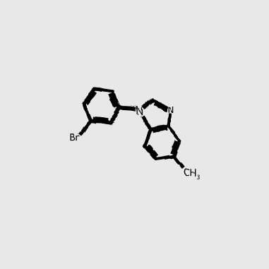 Cc1ccc2c(c1)ncn2-c1cccc(Br)c1